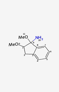 COC1Cc2ccccc2C1(N)OC